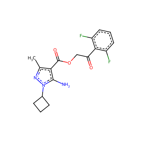 Cc1nn(C2CCC2)c(N)c1C(=O)OCC(=O)c1c(F)cccc1F